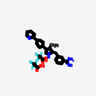 CCOC(=O)c1c(-c2ccc(-c3ccccn3)cc2)c[nH]c1Cc1cccc(C(=N)N)c1.O=C(O)C(F)(F)F.O=C(O)C(F)(F)F